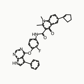 Cc1c(C(=O)Nc2ccc(Oc3ncnc4[nH]cc(-c5ccccc5)c34)c(F)c2)c(=O)c2cc(C3=CCCC3)ccc2n1C